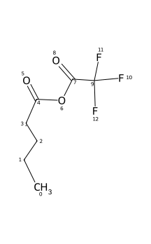 CCC[CH]C(=O)OC(=O)C(F)(F)F